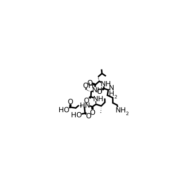 CC[C@H](C)[C@H](NC(=O)[C@H](CO)NC(=O)[C@H](CC(C)C)NC(=O)[C@@H](N)CCCCN)C(=O)N[C@@H](CCC(=O)O)C(=O)O